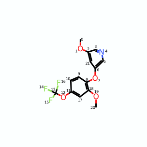 COc1cncc(Oc2ccc(OC(F)(F)F)cc2OC)c1